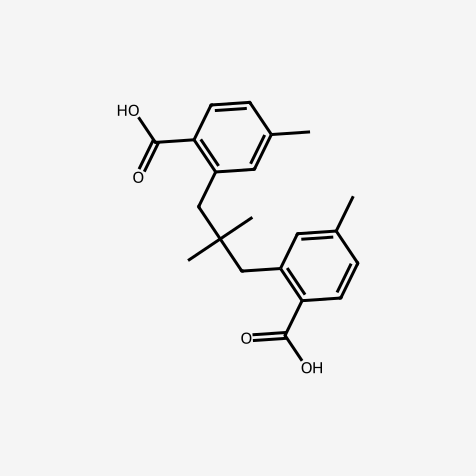 Cc1ccc(C(=O)O)c(CC(C)(C)Cc2cc(C)ccc2C(=O)O)c1